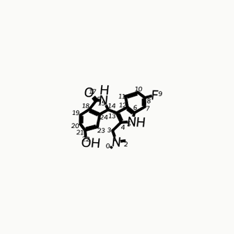 CN(C)Cc1[nH]c2cc(F)ccc2c1C1NC(=O)c2ccc(O)cc21